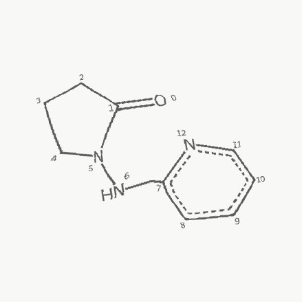 O=C1CCCN1Nc1ccccn1